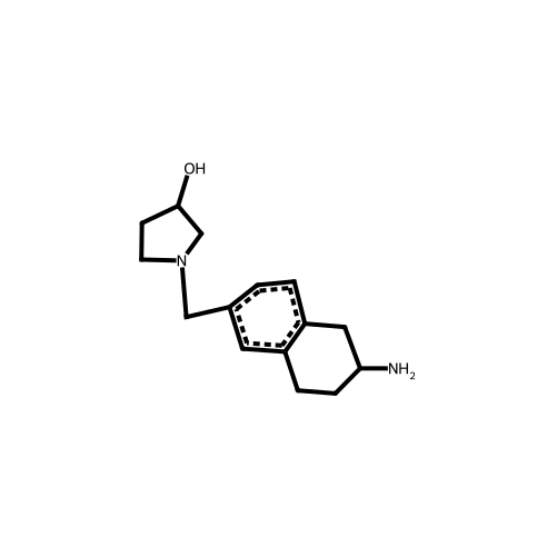 NC1CCc2cc(CN3CCC(O)C3)ccc2C1